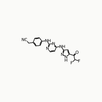 N#CCc1ccc(Nc2nccc(Nc3cc(C(=O)C(F)F)[nH]n3)n2)cc1